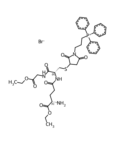 CCOC(=O)CNC(=O)[C@H](CSC1CC(=O)N(CCC[P+](c2ccccc2)(c2ccccc2)c2ccccc2)C1=O)NC(=O)CC[C@H](N)C(=O)OCC.[Br-]